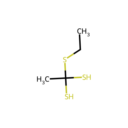 CCSC(C)(S)S